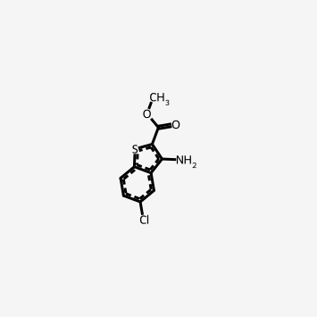 COC(=O)c1sc2ccc(Cl)cc2c1N